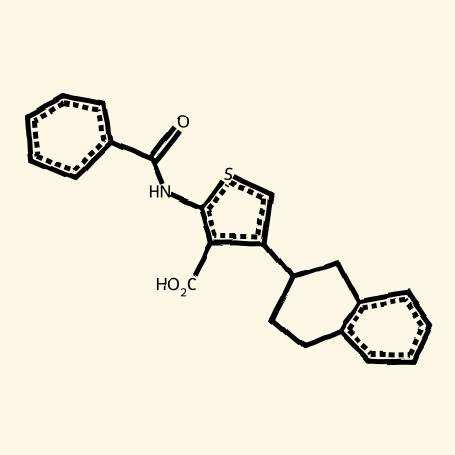 O=C(Nc1scc(C2CCc3ccccc3C2)c1C(=O)O)c1ccccc1